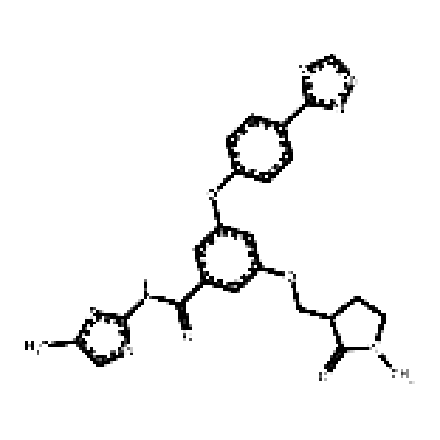 Cc1cnc(NC(=O)c2cc(OCC3CCN(C)C3=O)cc(Oc3ccc(-c4ncno4)cc3)c2)s1